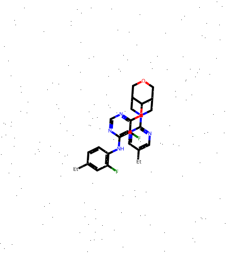 CCc1cnc(N2CC3COCC(C2)C3Oc2ncnc(Nc3ccc(CC)cc3F)c2F)nc1